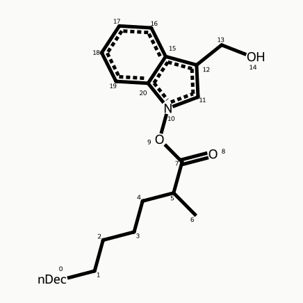 CCCCCCCCCCCCCCC(C)C(=O)On1cc(CO)c2ccccc21